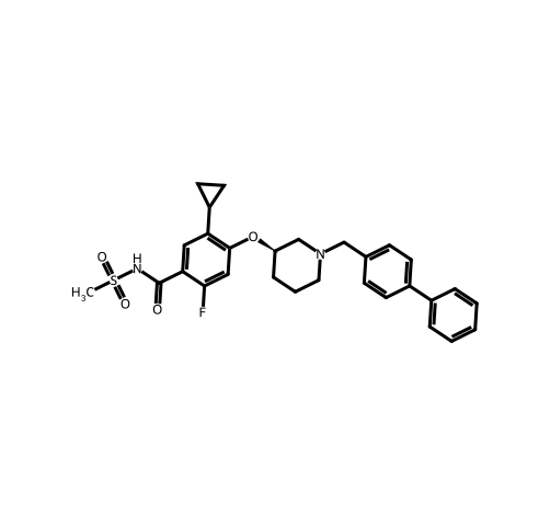 CS(=O)(=O)NC(=O)c1cc(C2CC2)c(O[C@@H]2CCCN(Cc3ccc(-c4ccccc4)cc3)C2)cc1F